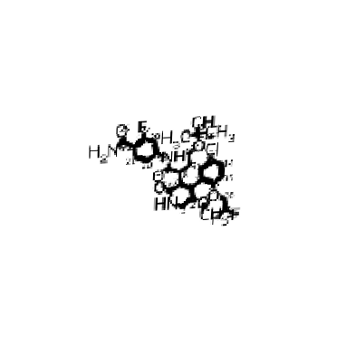 COc1c[nH]c(=O)c(C(CCOC(C)(C)C)C(=O)Nc2ccc(C(N)=O)c(F)c2)c1-c1cc(Cl)ccc1OCC(F)F